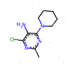 Cc1nc(Cl)c(N)c(N2CCCCC2)n1